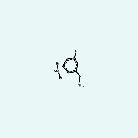 NCc1[c]ccc(F)c1.[Br][Mg][Br]